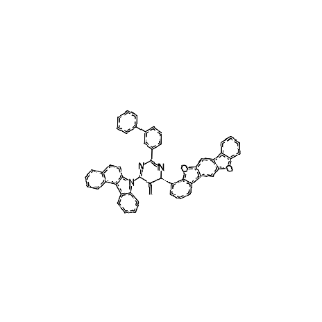 C=C1C(n2c3ccccc3c3c4ccccc4ccc32)=NC(c2cccc(-c3ccccc3)c2)=NC1c1cccc2c1oc1cc3c(cc12)oc1ccccc13